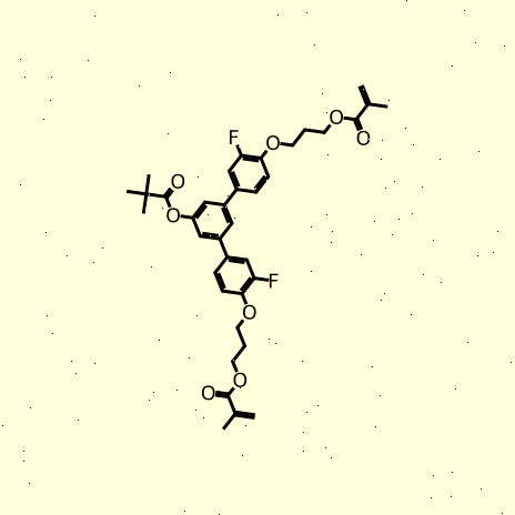 C=C(C)C(=O)OCCCOc1ccc(-c2cc(OC(=O)C(C)(C)C)cc(-c3ccc(OCCCOC(=O)C(=C)C)c(F)c3)c2)cc1F